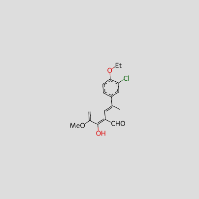 C=C(OC)/C(O)=C(C=O)\C=C(/C)c1ccc(OCC)c(Cl)c1